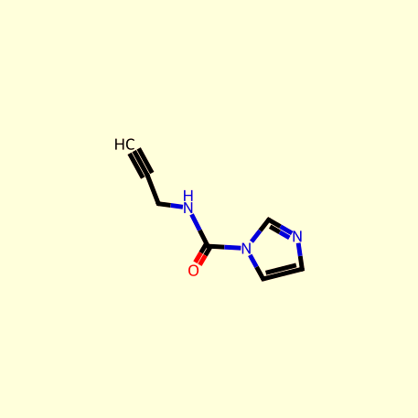 C#CCNC(=O)n1ccnc1